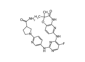 CC1(C)Oc2ccc(Nc3nc(Nc4ccc(N5CCC(C(N)=O)C5)nc4)ncc3F)nc2NC1=O